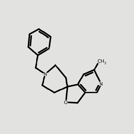 Cc1cc2c(cn1)COC21CCN(Cc2ccccc2)CC1